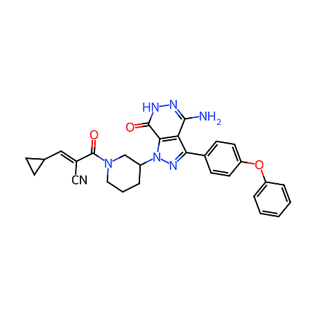 N#C/C(=C\C1CC1)C(=O)N1CCCC(n2nc(-c3ccc(Oc4ccccc4)cc3)c3c(N)n[nH]c(=O)c32)C1